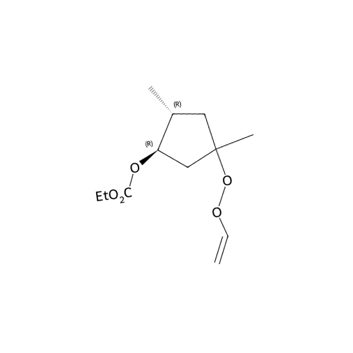 C=COOC1(C)C[C@@H](C)[C@H](OC(=O)OCC)C1